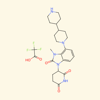 Cn1c(=O)n(C2CCC(=O)NC2=O)c2cccc(N3CCC(C4CCNCC4)CC3)c21.O=C(O)C(F)(F)F